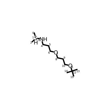 C[SH](C)NCCCOCCCOC(C)(C)C